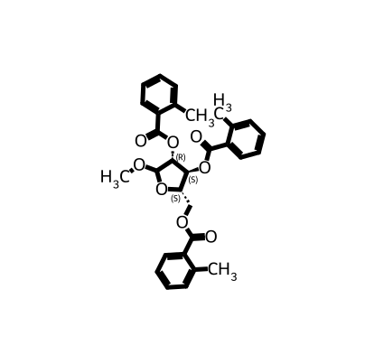 COC1O[C@@H](COC(=O)c2ccccc2C)[C@H](OC(=O)c2ccccc2C)[C@H]1OC(=O)c1ccccc1C